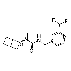 O=C(NCc1ccnc(C(F)F)c1)N[C@H]1CC2CCC21